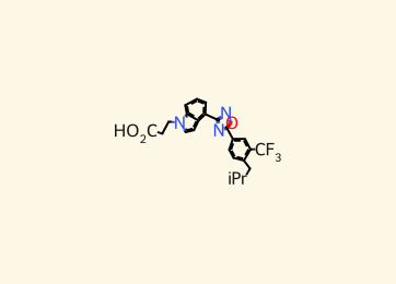 CC(C)Cc1ccc(-c2nc(-c3cccc4c3ccn4CCC(=O)O)no2)cc1C(F)(F)F